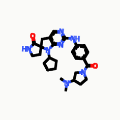 CN(C)C1CCN(C(=O)c2ccc(Nc3ncc4c(n3)N(C3CCCC3)C3(CCNC3=O)C4)cc2)C1